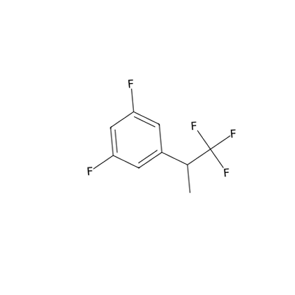 CC(c1cc(F)cc(F)c1)C(F)(F)F